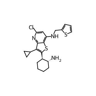 N[C@@H]1CCCC[C@H]1c1sc2c(NCc3cccs3)cc(Cl)nc2c1C1CC1